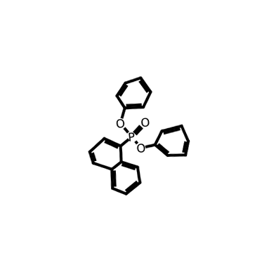 O=P(Oc1ccccc1)(Oc1ccccc1)c1cccc2ccccc12